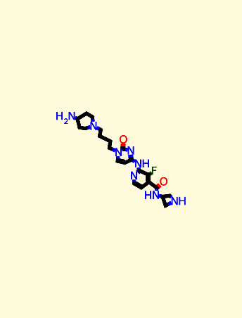 NC1CCN(CCCCn2ccc(Nc3nccc(C(=O)NC4CNC4)c3F)nc2=O)CC1